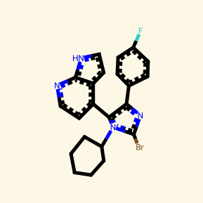 Fc1ccc(-c2nc(Br)n(C3CCCCC3)c2-c2ccnc3[nH]ccc23)cc1